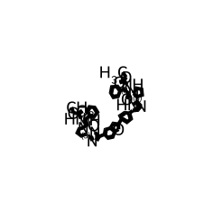 COC(=O)N[C@@H](C(=O)N1CCC[C@H]1c1ncc(-c2ccc(-c3cc4cc(-c5cnc([C@@H]6CCCN6C(=O)[C@H](NC(=O)OC)c6ccccc6)[nH]5)ccc4o3)cc2)[nH]1)c1ccccc1